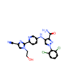 N#Cc1cn(CCO)c(-c2ccc(Nc3cn(-c4c(Cl)cccc4Cl)nc3C(N)=O)cn2)n1